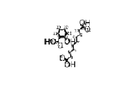 O=C(O)CCCCCCCCC(=O)O.O=C(O)c1ccccc1O